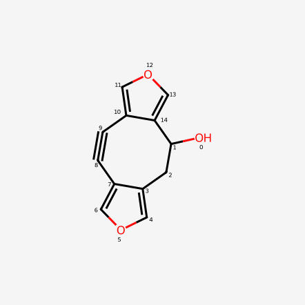 OC1Cc2cocc2C#Cc2cocc21